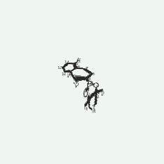 CC1(C)OB(c2ccc3c(F)cccc3c2)OC1(C)C